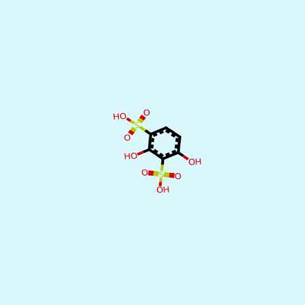 O=S(=O)(O)c1ccc(O)c(S(=O)(=O)O)c1O